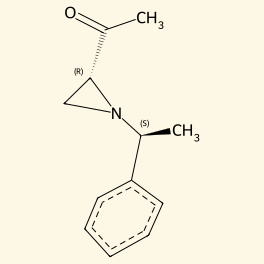 CC(=O)[C@H]1CN1[C@@H](C)c1ccccc1